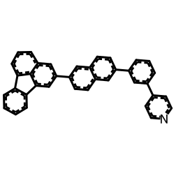 c1cc(-c2ccncc2)cc(-c2ccc3cc(-c4cc5c6c(cccc6c4)-c4ccccc4-5)ccc3c2)c1